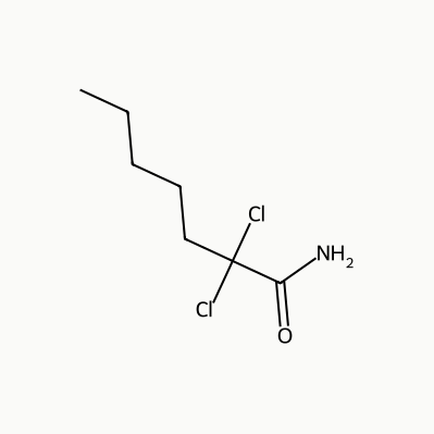 CCCCCC(Cl)(Cl)C(N)=O